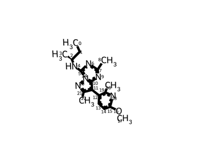 CC[C@H](C)Nc1nc(C)nc2c(-c3ccc(OC)nc3C)c(C)nn12